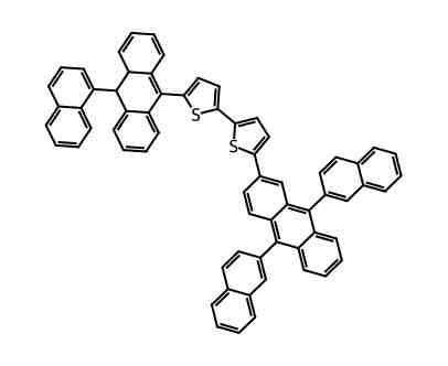 C1=CC2=C(c3ccc(-c4ccc(-c5ccc6c(-c7ccc8ccccc8c7)c7ccccc7c(-c7ccc8ccccc8c7)c6c5)s4)s3)c3ccccc3C(c3cccc4ccccc34)C2C=C1